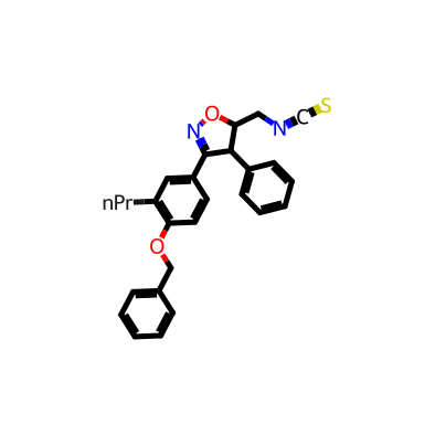 CCCc1cc(C2=NOC(CN=C=S)C2c2ccccc2)ccc1OCc1ccccc1